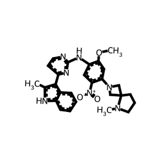 COc1cc(N2CC3(CCCN3C)C2)c([N+](=O)[O-])cc1Nc1nccc(-c2c(C)[nH]c3ccccc23)n1